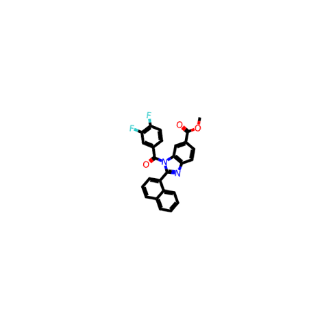 COC(=O)c1ccc2nc(-c3cccc4ccccc34)n(C(=O)c3ccc(F)c(F)c3)c2c1